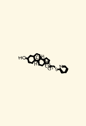 C[C@]12CC[C@H]3[C@@H](CCC4CC(O)CC[C@@]43C)[C@@H]1CC[C@@H]2C(=O)CSc1ccccn1